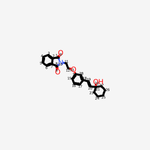 O=C1c2ccccc2C(=O)N1CCOc1cccc(C=CC2(O)CCCCC2)c1